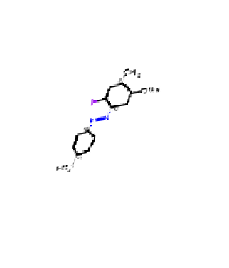 COC1C[C@H](N=N[C@H]2C=C[C@@H](S(=O)(=O)O)CC2)C(I)C[C@@H]1C